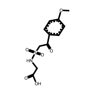 COc1ccc(C(=O)CS(=O)(=O)NCC(=O)O)cc1